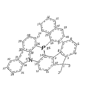 CC1(C)c2ccccc2-c2c1ccc1c2P(c2cccc3ccccc23)c2cccc3c4ccccc4n-1c23